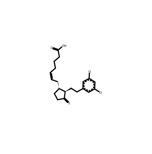 O=C(O)CCC/C=C\C[C@H]1CCC(=S)[C@@H]1CCc1cc(Cl)cc(Cl)c1